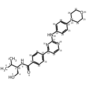 CC(C)[C@H](CO)NC(=O)c1ccc(-c2ccnc(Nc3ccc(N4CCOCC4)cc3)n2)cc1